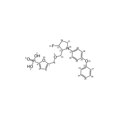 O=P(O)(O)c1ccc(COCC2C(F)CCN2c2ccc(Oc3ccccc3)cc2)o1